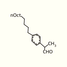 CCCCCCCCCCCCc1ccc(C(C)C=O)cc1